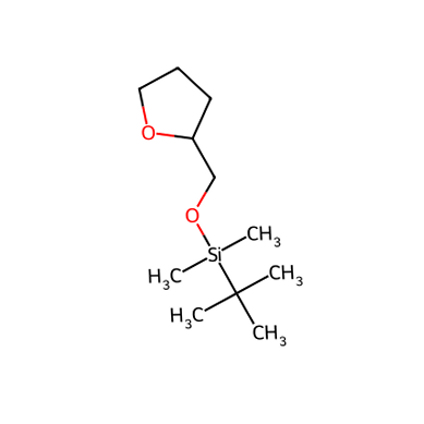 CC(C)(C)[Si](C)(C)OCC1CCCO1